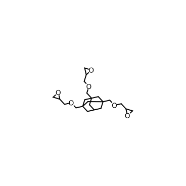 C(OCC12CC3CC(COCC4CO4)(C1)CC(COCC1CO1)(C3)C2)C1CO1